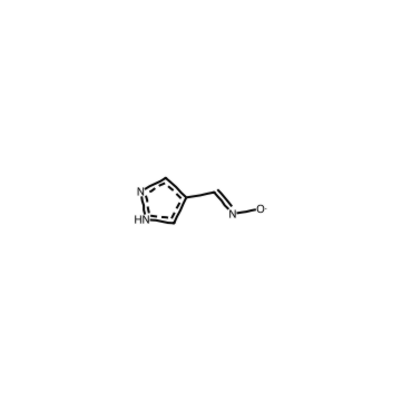 [O]N=Cc1cn[nH]c1